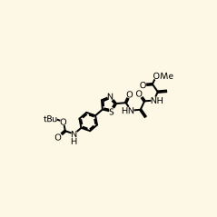 C=C(NC(=O)c1ncc(-c2ccc(NC(=O)OC(C)(C)C)cc2)s1)C(=O)NC(=C)C(=O)OC